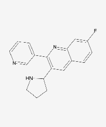 Fc1ccc2cc(C3CCCN3)c(-c3cccnc3)nc2c1